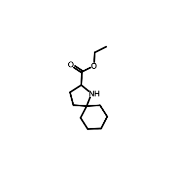 CCOC(=O)C1CCC2(CCCCC2)N1